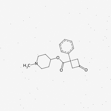 CN1CCC(OC(=O)C2(c3ccccc3)CC(=O)C2)CC1